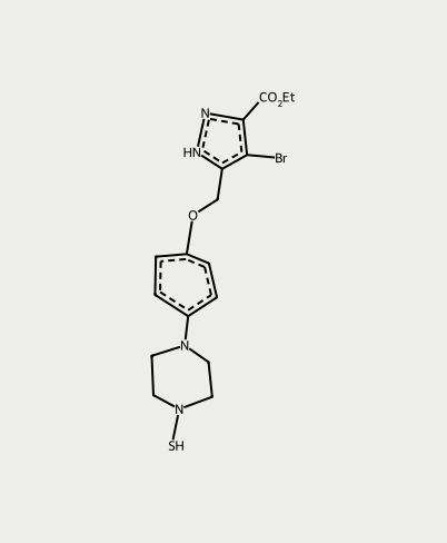 CCOC(=O)c1n[nH]c(COc2ccc(N3CCN(S)CC3)cc2)c1Br